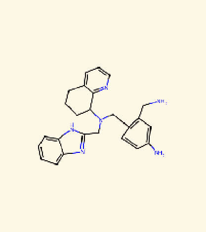 NCc1cc(N)ccc1CN(Cc1nc2ccccc2[nH]1)C1CCCc2cccnc21